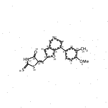 COc1ncc(-c2cncc3cc(C=C4SC(=S)NC4=O)oc23)cc1C